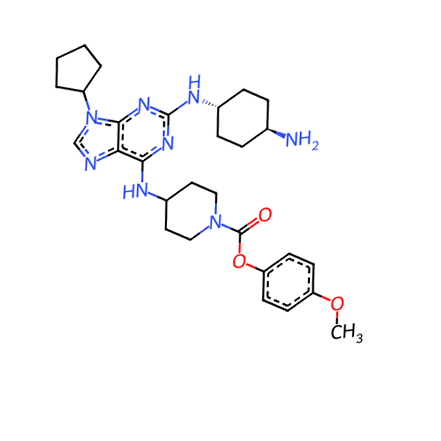 COc1ccc(OC(=O)N2CCC(Nc3nc(N[C@H]4CC[C@H](N)CC4)nc4c3ncn4C3CCCC3)CC2)cc1